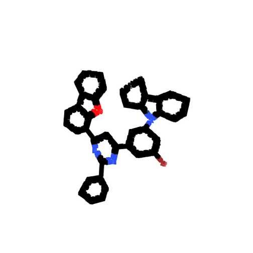 Brc1cc(-c2cc(-c3cccc4c3oc3ccccc34)nc(-c3ccccc3)n2)cc(-n2c3ccccc3c3ccccc32)c1